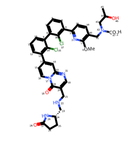 COc1nc(-c2cccc(-c3cccc(-c4ccn5c(=O)c(CNC[C@@H]6CCC(=O)N6)cnc5c4)c3Cl)c2Cl)ccc1CN(CC(C)O)C(=O)O